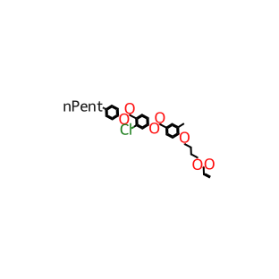 C=CC(=O)OCCCCOc1ccc(C(=O)Oc2ccc(C(=O)Oc3ccc(CCCCC)cc3)c(Cl)c2)cc1C